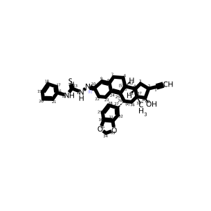 C#CC1C[C@H]2[C@@H]3CCC4=C/C(=N/NC(=S)Nc5ccccc5)CCC4=C3[C@@H](c3ccc4c(c3)OCO4)C[C@]2(C)[C@H]1O